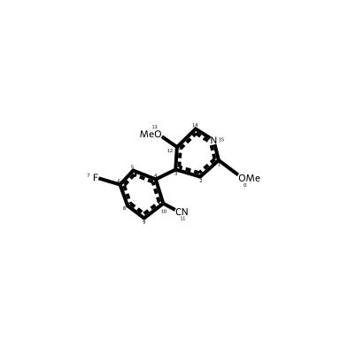 COc1cc(-c2cc(F)ccc2C#N)c(OC)cn1